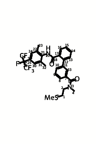 CSCCN(C)C(=O)c1cccc(-c2ccccc2C(=O)Nc2c(C)cc(C(F)(C(F)(F)F)C(F)(F)F)cc2C)c1